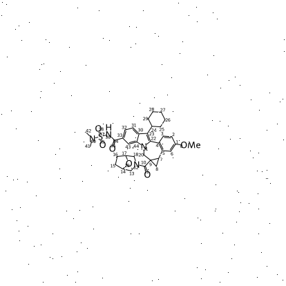 COc1ccc2c(c1)C1CC1(C(=O)N1CC3CCC(C1)O3)Cn1c-2c(C2CCCCC2)c2ccc(C(=O)NS(=O)(=O)N(C)C)cc21